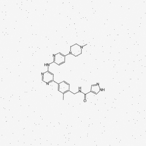 Cc1cc(-c2cc(Nc3ccc(N4CCN(C)CC4)cn3)ncn2)ccc1CNC(=O)c1cn[nH]c1